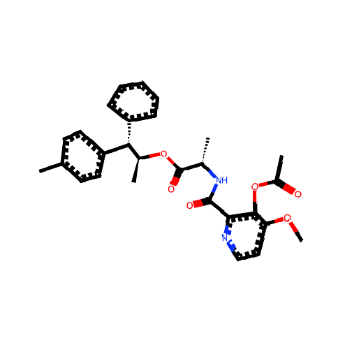 COc1ccnc(C(=O)N[C@@H](C)C(=O)O[C@@H](C)[C@@H](c2ccccc2)c2ccc(C)cc2)c1OC(C)=O